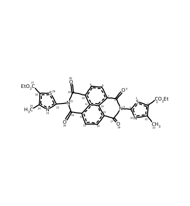 CCOC(=O)c1sc(N2C(=O)c3ccc4c5c(ccc(c35)C2=O)C(=O)N(c2nc(C)c(C(=O)OCC)s2)C4=O)nc1C